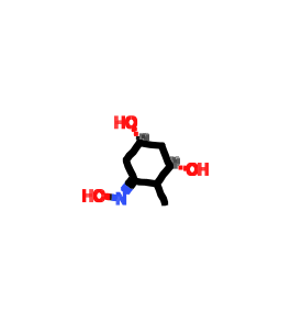 CC1C(=NO)C[C@H](O)C[C@@H]1O